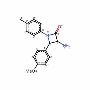 COc1ccc(C2C(N)C(=O)N2c2ccc(C)cc2)cc1